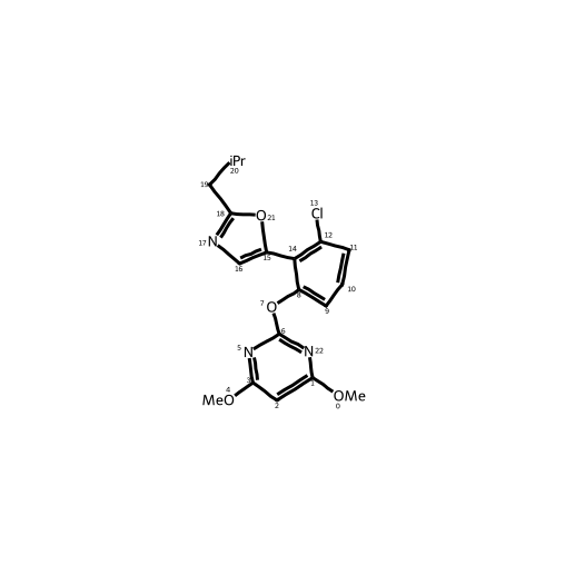 COc1cc(OC)nc(Oc2cccc(Cl)c2-c2cnc(CC(C)C)o2)n1